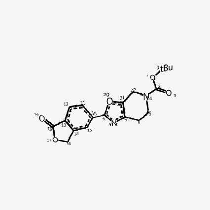 CC(C)(C)OC(=O)N1CCc2nc(-c3ccc4c(c3)COC4=O)oc2C1